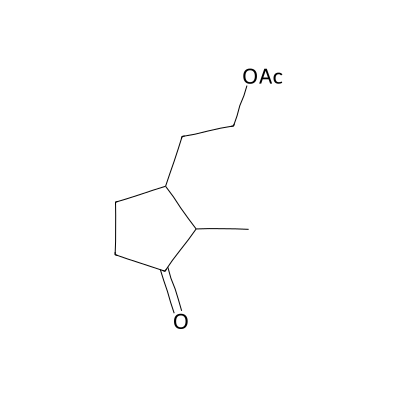 CC(=O)OCCC1CCC(=O)C1C